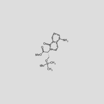 COC(=O)[C@@H](CO[Si](C)(C)C(C)(C)C)n1ccc2c(N)cccc2c1=O